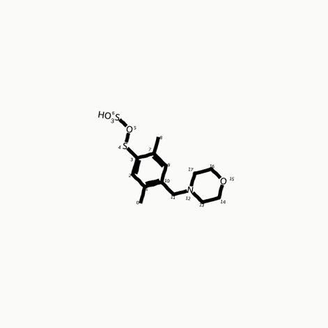 Cc1cc(SOS(=O)(=O)O)c(C)cc1CN1CCOCC1